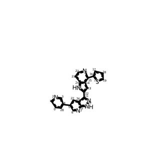 c1cncc(-c2cnc3[nH]nc(-c4cc5c(-c6cccs6)nccc5[nH]4)c3c2)c1